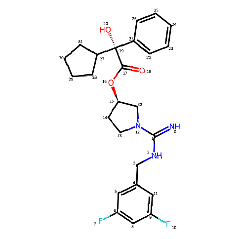 N=C(NCc1cc(F)cc(F)c1)N1CC[C@@H](OC(=O)[C@](O)(c2ccccc2)C2CCCC2)C1